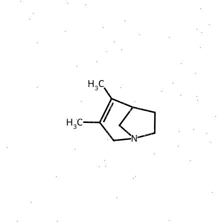 CC1=C(C)C2CCN(C1)C2